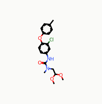 COC(CN(C)C(=O)Nc1ccc(Oc2ccc(C)cc2)c(Cl)c1)OC